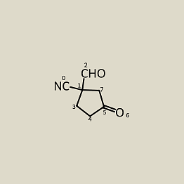 N#CC1(C=O)CCC(=O)C1